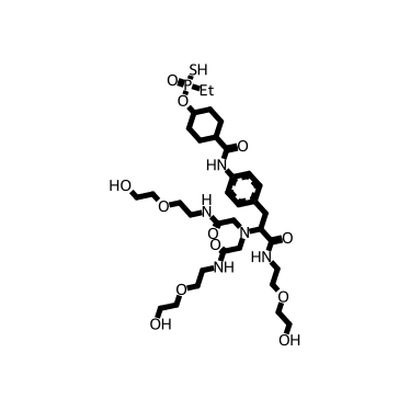 CCP(=O)(S)OC1CCC(C(=O)Nc2ccc(CC(C(=O)NCCOCCO)N(CC(=O)NCCOCCO)CC(=O)NCCOCCO)cc2)CC1